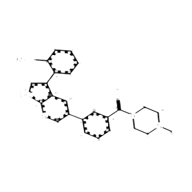 COc1ccccc1-c1c[nH]c2ncc(-c3cccc(C(=O)N4CCN(C)CC4)c3)cc12